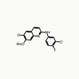 COc1cc2nc(Nc3ccc(F)c(Cl)c3)ccc2cc1[O]